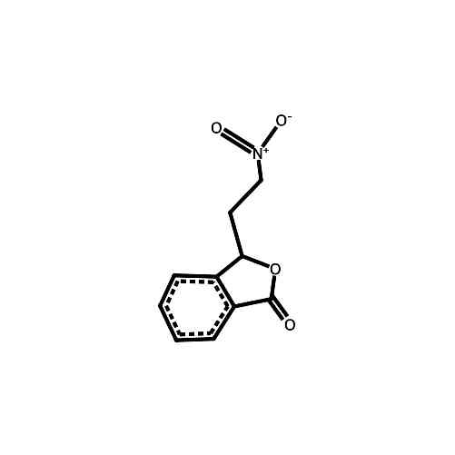 O=C1OC(CC[N+](=O)[O-])c2ccccc21